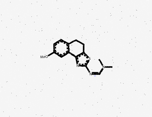 COc1ccc2c(c1)-c1nc(/N=C\N(C)C)sc1CC2